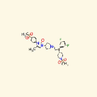 Cc1cn(C2CCN(CC[C@@H](c3cc(F)cc(F)c3)C3CCN(S(C)(=O)=O)CC3)CC2)c(=O)n1-c1ccc(S(C)(=O)=O)cc1